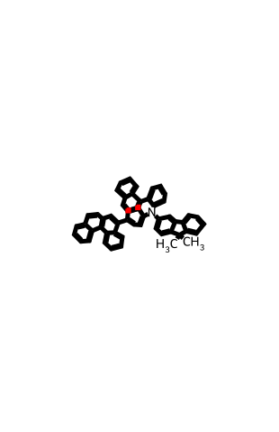 CC1(C)c2ccccc2-c2cc(N(c3ccc(-c4cc5ccc6ccccc6c5c5ccccc45)cc3)c3ccccc3-c3cccc4ccccc34)ccc21